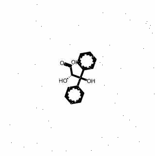 O=C(O)[C@@H](O)C(O)(c1ccccc1)c1ccccc1